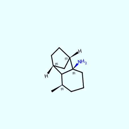 C[C@@H]1CCC[C@]2(N)C1[C@@H]1CC[C@H]2C1